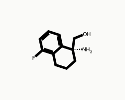 N[C@]1(CO)CCCc2c(F)cccc21